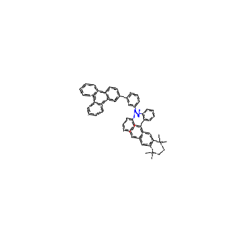 CC1(C)CCC(C)(C)c2cc3c(-c4ccccc4N(c4ccccc4)c4cccc(-c5ccc6c7ccccc7c7ccccc7c6c5)c4)cccc3cc21